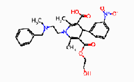 CC1=C(C(=O)O)C(c2cccc([N+](=O)[O-])c2)C(C(=O)OCCO)=C(C)N1CCN(C)Cc1ccccc1